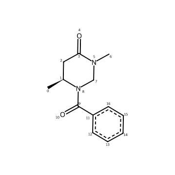 C[C@H]1CC(=O)N(C)CN1C(=O)c1ccccc1